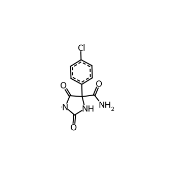 NC(=O)C1(c2ccc(Cl)cc2)NC(=O)[N]C1=O